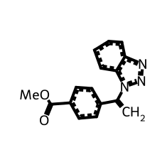 C=C(c1ccc(C(=O)OC)cc1)n1nnc2ccccc21